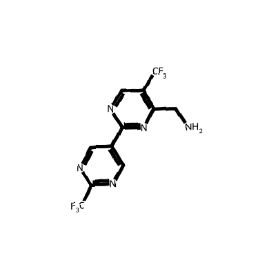 NCc1nc(-c2cnc(C(F)(F)F)nc2)ncc1C(F)(F)F